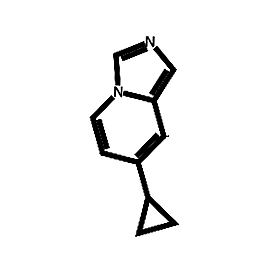 [c]1c(C2CC2)ccn2cncc12